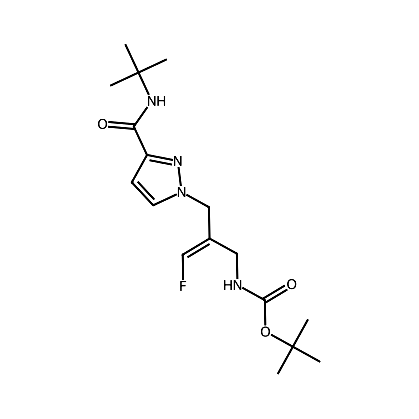 CC(C)(C)NC(=O)c1ccn(CC(=CF)CNC(=O)OC(C)(C)C)n1